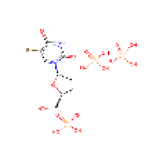 O=P(O)(O)O.O=P(O)(O)O.O=P(O)(O)O.O=c1[nH]c(=O)n([C@H]2CC[C@@H](CO)O2)cc1Br